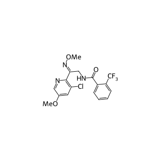 CO/N=C(\CNC(=O)c1ccccc1C(F)(F)F)c1ncc(OC)cc1Cl